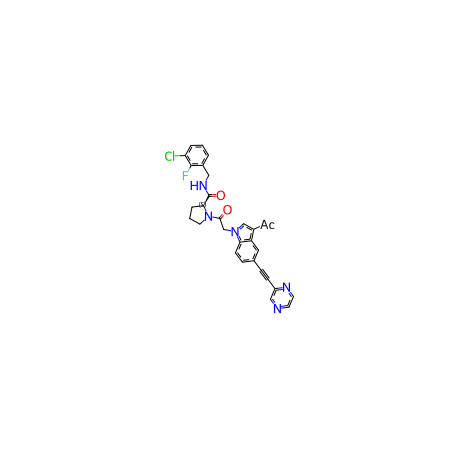 CC(=O)c1cn(CC(=O)N2CCC[C@H]2C(=O)NCc2cccc(Cl)c2F)c2ccc(C#Cc3cnccn3)cc12